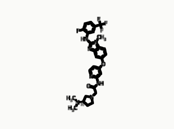 CN(C)[C@@H]1CCN(CC(=O)Nc2cc(Oc3ccc4c(c3)nc(Nc3cc(C(F)(F)F)ccc3F)n4C)ccn2)C1